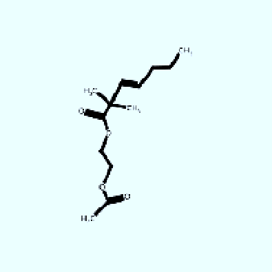 CCCC=CC(C)(C)C(=O)OCCOC(C)=O